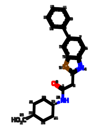 O=C(Cc1nc2ccc(-c3ccccc3)cc2s1)N[C@H]1CC[C@H](C(=O)O)CC1